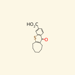 O=C(O)c1ccc2c(=O)c3c(sc2c1)CCCCCC3